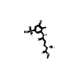 COC(=O)[C@@H](N)CCC(=O)Nc1cc(S(=O)(=O)O)cc(Cl)c1C